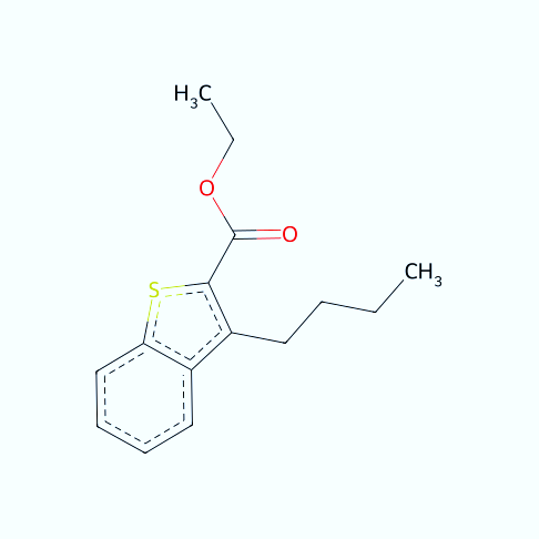 CCCCc1c(C(=O)OCC)sc2ccccc12